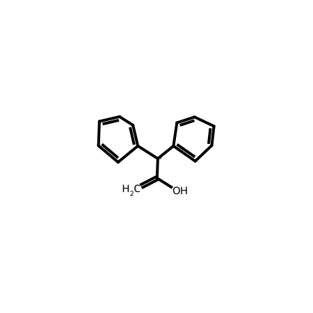 C=C(O)[C](c1ccccc1)c1ccccc1